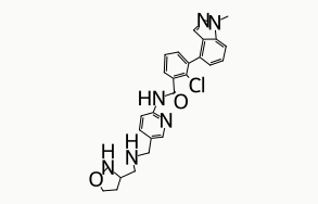 Cn1ncc2c(-c3cccc(C(=O)Nc4ccc(CNCC5CCON5)cn4)c3Cl)cccc21